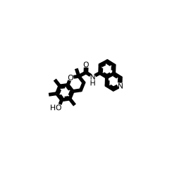 Cc1c(C)c2c(c(C)c1O)CCC(C)(C(=O)Nc1cccc3cnccc13)O2